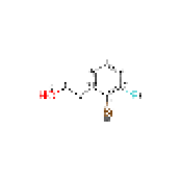 OCCc1cccc(F)c1Br